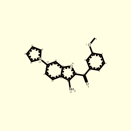 COc1cccc(C(=O)c2oc3cc(-n4cccc4)ccc3c2N)c1